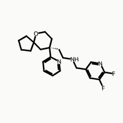 Fc1cc(CNCC[C@@]2(c3ccccn3)CCOC3(CCCC3)C2)cnc1F